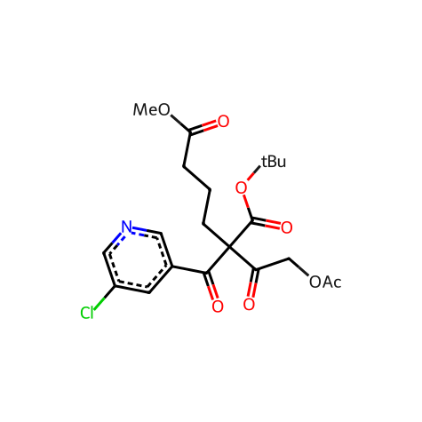 COC(=O)CCCC(C(=O)COC(C)=O)(C(=O)OC(C)(C)C)C(=O)c1cncc(Cl)c1